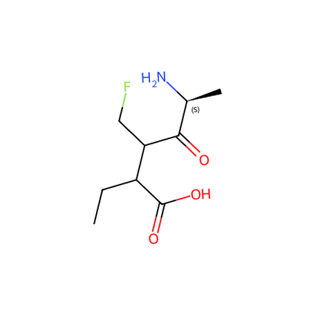 CCC(C(=O)O)C(CF)C(=O)[C@H](C)N